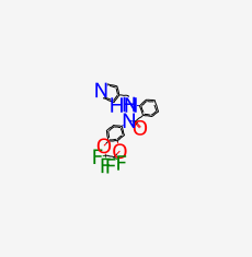 O=C(Nc1ccc2c(c1)OC(F)(F)C(F)(F)O2)c1ccccc1NCc1ccncc1